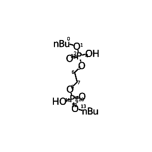 CCCCOP(=O)(O)OCCOP(=O)(O)OCCCC